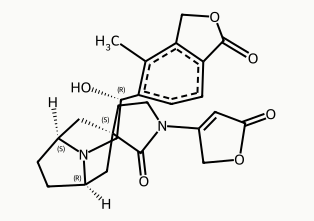 Cc1c([C@@H](O)CN2[C@@H]3CC[C@H]2C[C@@]2(CCN(C4=CC(=O)OC4)C2=O)C3)ccc2c1COC2=O